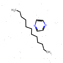 CCCCCCCCCCCC.c1cnccn1